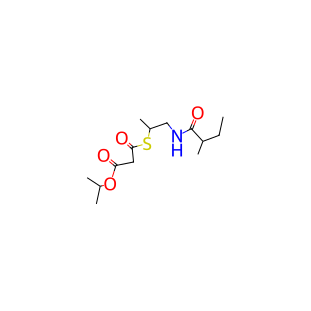 CCC(C)C(=O)NCC(C)SC(=O)CC(=O)OC(C)C